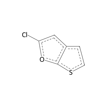 Clc1cc2ccsc2o1